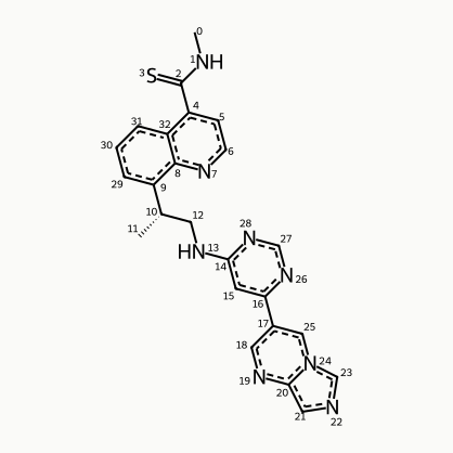 CNC(=S)c1ccnc2c([C@@H](C)CNc3cc(-c4cnc5cncn5c4)ncn3)cccc12